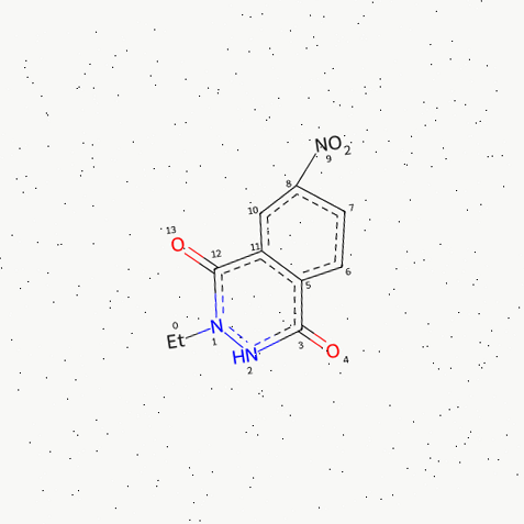 CCn1[nH]c(=O)c2ccc([N+](=O)[O-])cc2c1=O